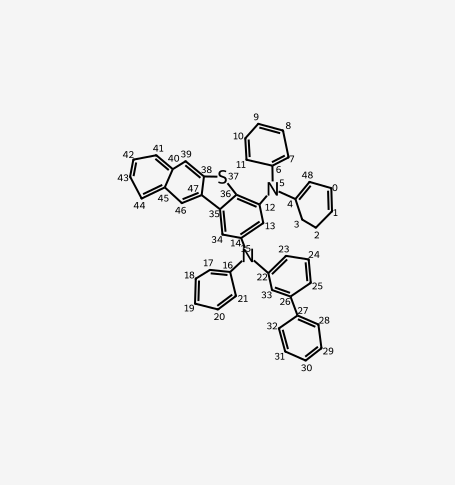 C1=CCCC(N(c2ccccc2)c2cc(N(c3ccccc3)c3cccc(-c4ccccc4)c3)cc3c2sc2cc4ccccc4cc23)=C1